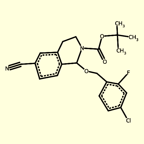 CC(C)(C)OC(=O)N1CCc2cc(C#N)ccc2C1OCc1ccc(Cl)cc1F